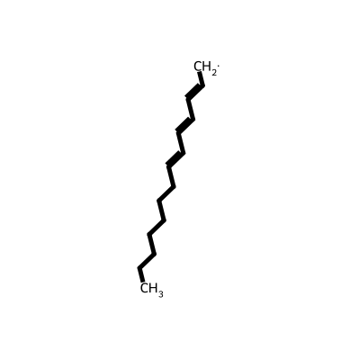 [CH2]/C=C/C=C/C=C/CCCCCCC